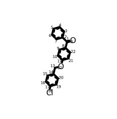 O=C(c1ccccc1)c1ccc(OCc2ccc(Cl)cc2)cc1